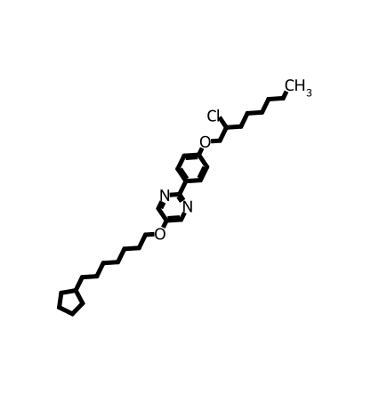 CCCCCCC(Cl)COc1ccc(-c2ncc(OCCCCCCCC3CCCC3)cn2)cc1